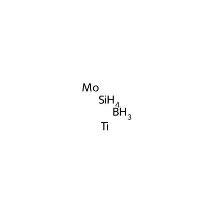 B.[Mo].[SiH4].[Ti]